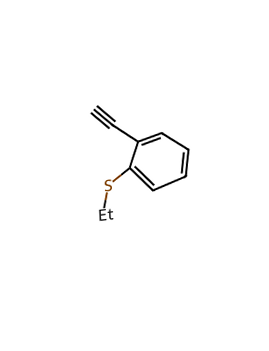 C#Cc1ccccc1SCC